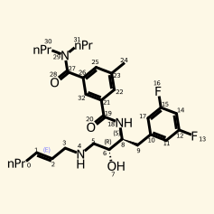 CCC/C=C/CNC[C@@H](O)[C@H](Cc1cc(F)cc(F)c1)NC(=O)c1cc(C)cc(C(=O)N(CCC)CCC)c1